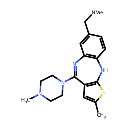 CNCc1ccc2c(c1)N=C(N1CCN(C)CC1)c1cc(C)sc1N2